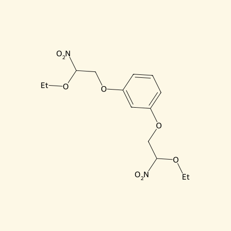 CCOC(COc1cccc(OCC(OCC)[N+](=O)[O-])c1)[N+](=O)[O-]